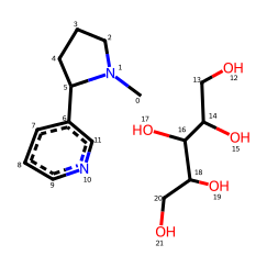 CN1CCCC1c1cccnc1.OCC(O)C(O)C(O)CO